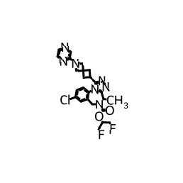 CC1c2nnc(C3CC4(C3)CN(c3cnccn3)C4)n2-c2ccc(Cl)cc2CN1C(=O)OC(CF)CF